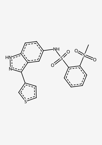 CS(=O)(=O)c1ccccc1S(=O)(=O)Nc1ccc2[nH]nc(-c3ccsc3)c2c1